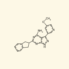 COc1cncc(-c2n[nH]c3nc(C4Cc5ccccc5C4)nc(N)c23)c1